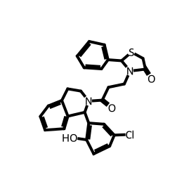 O=C1CSC(c2ccccc2)N1CCC(=O)N1CCc2ccccc2C1c1cc(Cl)ccc1O